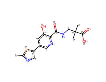 Cc1ncc(-c2cnc(C(=O)NCC(C)(C)C(=O)O)c(O)c2)s1